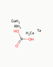 O=[Si](O)O.[AlH3].[CaH2].[GaH3].[Ta]